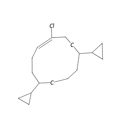 Cl/C1=C/CCC(C2CC2)CCCC(C2CC2)CC1